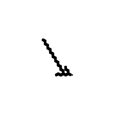 [CH2]C(CCC)CC(CCC)CCCCCCCCCCCCCCCC